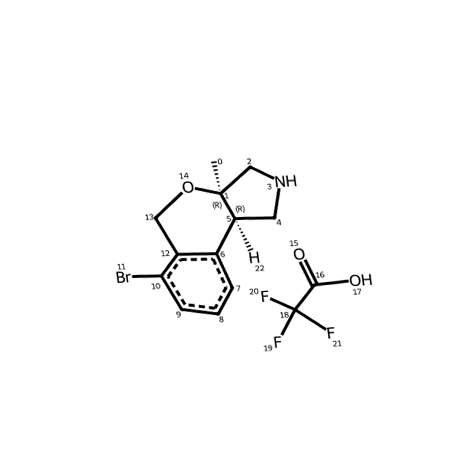 C[C@]12CNC[C@H]1c1cccc(Br)c1CO2.O=C(O)C(F)(F)F